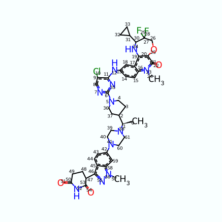 C[C@H](C1CCN(c2ncc(Cl)c(Nc3ccc4c(c3)c3c(c(=O)n4C)OCC(F)(F)C(C4CC4)N3)n2)CC1)N1CCN(c2ccc3c(C4CCC(=O)NC4=O)nn(C)c3c2)CC1